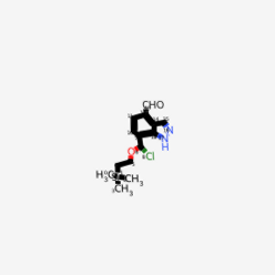 C[Si](C)(C)CCOC(Cl)c1ccc(C=O)c2cn[nH]c12